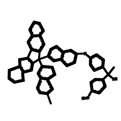 COc1ccc(C(C)(O)c2ccc(Oc3ccc4cc(C5(c6ccc7cc(C)ccc7c6)c6cc7ccccc7cc6-c6cc7ccccc7cc65)ccc4c3)cc2)cc1